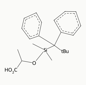 CC(O[Si](C)(C)C(c1ccccc1)(c1ccccc1)C(C)(C)C)C(=O)O